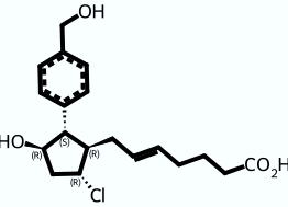 O=C(O)CCCC=CC[C@@H]1[C@@H](c2ccc(CO)cc2)[C@H](O)C[C@H]1Cl